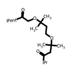 CCCC(C)C(=O)COC(C)(C)CCOC(C)(C)CC(=O)C(C)C